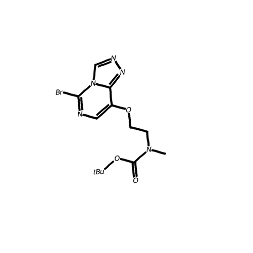 CN(CCOc1cnc(Br)n2cnnc12)C(=O)OC(C)(C)C